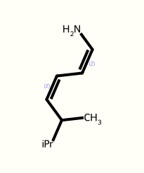 CC(C)C(C)/C=C\C=C/N